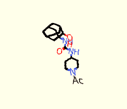 CC(=O)N1CCC(NC(=O)NC23CC4CC(CC(C4)C2O)C3)CC1